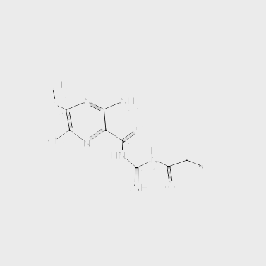 CCC(=O)NC(=N)NC(=O)c1nc(Cl)c(NC)nc1N